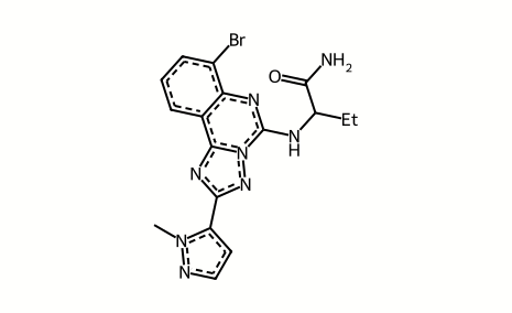 CCC(Nc1nc2c(Br)cccc2c2nc(-c3ccnn3C)nn12)C(N)=O